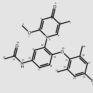 COc1cc(=O)c(C)cn1-c1cc(NC(C)=O)ccc1Oc1c(C)cc(F)cc1C